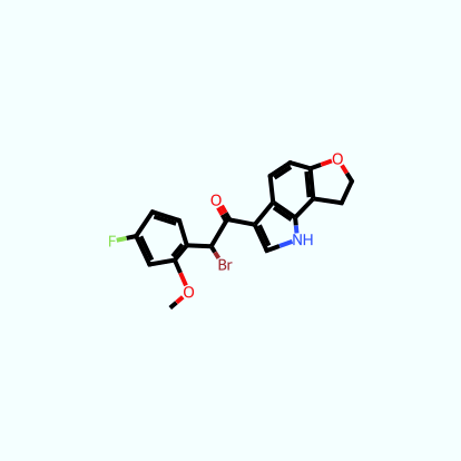 COc1cc(F)ccc1C(Br)C(=O)c1c[nH]c2c3c(ccc12)OCC3